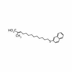 CC(=CCCCCCCCCCCSc1ccc2ccccc2c1)C(=O)O